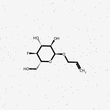 C=CCO[C@H]1O[C@H](CO)[C@@H](F)[C@H](O)[C@H]1O